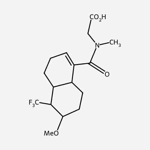 COC1CCC2C(C(=O)N(C)CC(=O)O)=CCCC2C1C(F)(F)F